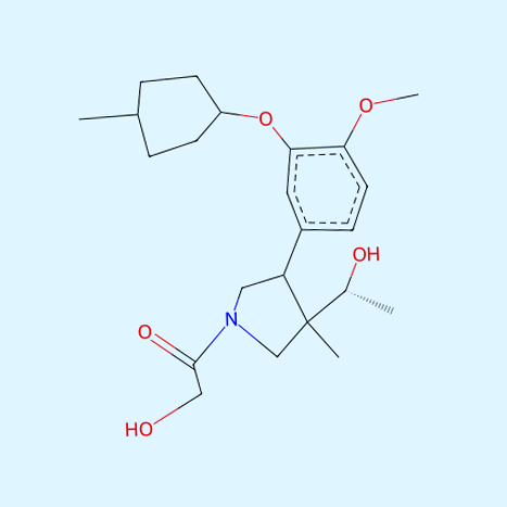 COc1ccc(C2CN(C(=O)CO)CC2(C)[C@@H](C)O)cc1OC1CCC(C)CC1